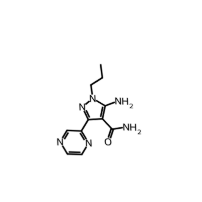 CCCn1nc(-c2cnccn2)c(C(N)=O)c1N